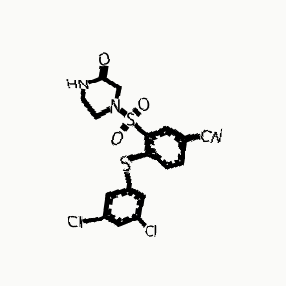 N#Cc1ccc(Sc2cc(Cl)cc(Cl)c2)c(S(=O)(=O)N2CCNC(=O)C2)c1